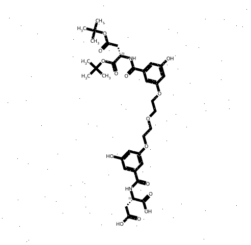 CC(C)(C)OC(=O)C[C@H](NC(=O)c1cc(O)cc(OCCOCCOc2cc(O)cc(C(=O)N[C@@H](CC(=O)O)C(=O)O)c2)c1)C(=O)OC(C)(C)C